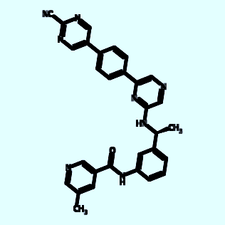 Cc1cncc(C(=O)Nc2cccc([C@H](C)Nc3cncc(-c4ccc(-c5cnc(C#N)nc5)cc4)n3)c2)c1